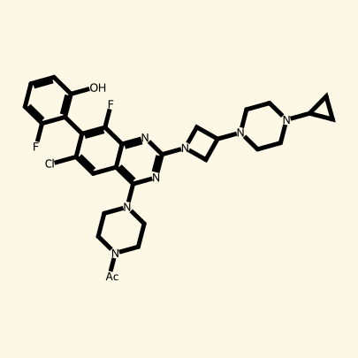 CC(=O)N1CCN(c2nc(N3CC(N4CCN(C5CC5)CC4)C3)nc3c(F)c(-c4c(O)cccc4F)c(Cl)cc23)CC1